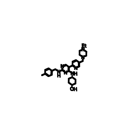 CCN1CCN(Cc2ccc(-c3cnc(NCc4ccc(C)cc4)nc3N[C@H]3CC[C@H](O)CC3)nc2)CC1